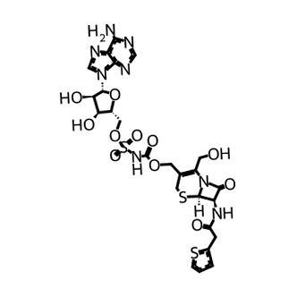 Nc1ncnc2c1ncn2[C@@H]1O[C@H](COS(=O)(=O)NC(=O)OCC2=C(CO)N3C(=O)[C@@H](NC(=O)Cc4cccs4)[C@H]3SC2)[C@@H](O)[C@H]1O